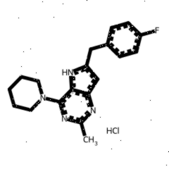 Cc1nc(N2CCCCC2)c2[nH]c(Cc3ccc(F)cc3)cc2n1.Cl